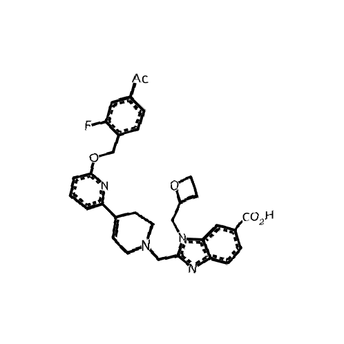 CC(=O)c1ccc(COc2cccc(C3=CCN(Cc4nc5ccc(C(=O)O)cc5n4CC4CCO4)CC3)n2)c(F)c1